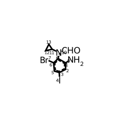 Nc1cc(I)cc(Br)c1N(C=O)C1CC1